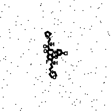 O=C(NCCN1CCCC1)c1cn2c3c(c(NCCCN4CCOCC4)c(F)cc3c1=O)Oc1cc(Cl)ccc1-2